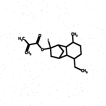 C=C(C)C(=O)OC1(I)CC2CC1C1C(C)CCC(CC)C21